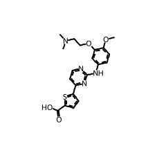 COc1ccc(Nc2nccc(-c3ccc(C(=O)O)s3)n2)cc1OCCN(C)C